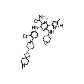 CCc1cc(Nc2nc(NC3CCOCC3)c(-c3cc(C)[nH]n3)nc2C(N)=O)ccc1N1CCC(N2CC3(CCN(C)CC3)C2)CC1